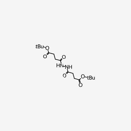 CC(C)(C)OC(=O)CCC(=O)NNC(=O)CCC(=O)OC(C)(C)C